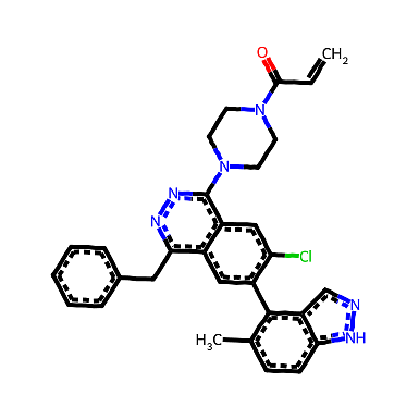 C=CC(=O)N1CCN(c2nnc(Cc3ccccc3)c3cc(-c4c(C)ccc5[nH]ncc45)c(Cl)cc23)CC1